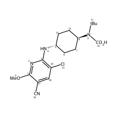 COc1nc(N[C@H]2CC[C@H](N(C(=O)O)C(C)(C)C)CC2)c(Cl)cc1C#N